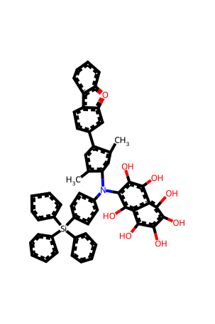 Cc1cc(N(c2ccc([Si](c3ccccc3)(c3ccccc3)c3ccccc3)cc2)c2c(O)c(O)c3c(O)c(O)c(O)c(O)c3c2O)c(C)cc1-c1ccc2c(c1)oc1ccccc12